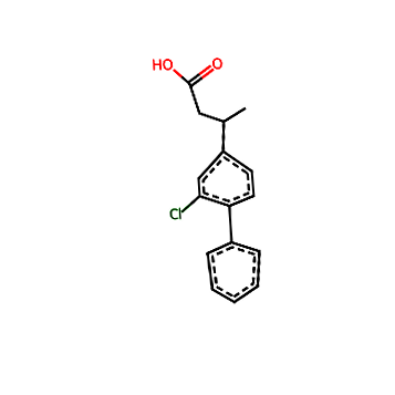 CC(CC(=O)O)c1ccc(-c2ccccc2)c(Cl)c1